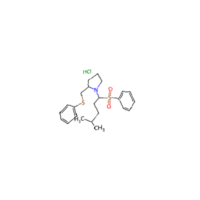 CC(C)CCC(N1CCCC1CSc1ccccc1)S(=O)(=O)c1ccccc1.Cl